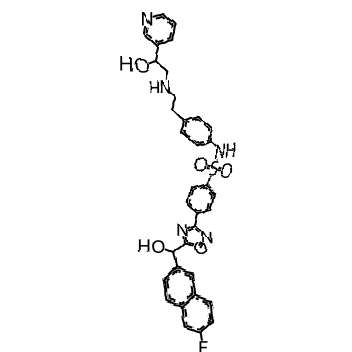 O=S(=O)(Nc1ccc(CCNCC(O)c2cccnc2)cc1)c1ccc(-c2noc(C(O)c3ccc4cc(F)ccc4c3)n2)cc1